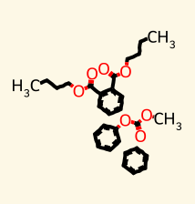 CCCCOC(=O)c1ccccc1C(=O)OCCCC.COC(=O)Oc1ccccc1.c1ccccc1